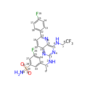 CC(Nc1nc(NCC(F)(F)F)c2nc(-c3ccc(F)cc3)ccc2n1)c1cc(F)cc(S(N)(=O)=O)c1